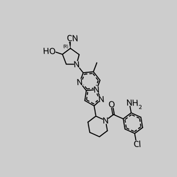 Cc1cn2nc(C3CCCCN3C(=O)c3cc(Cl)ccc3N)cc2nc1N1CC(O)[C@@H](C#N)C1